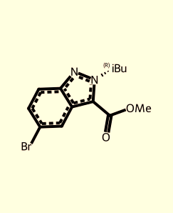 CC[C@@H](C)n1nc2ccc(Br)cc2c1C(=O)OC